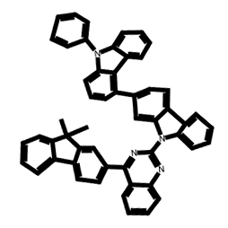 CC1(C)c2ccccc2-c2ccc(-c3nc(-n4c5ccccc5c5ccc(-c6cccc7c6c6ccccc6n7-c6ccccc6)cc54)nc4ccccc34)cc21